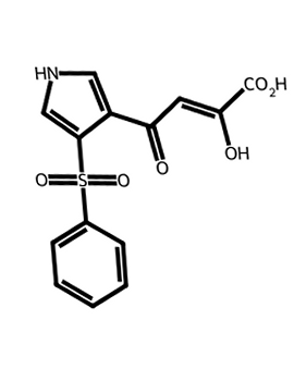 O=C(O)C(O)=CC(=O)c1c[nH]cc1S(=O)(=O)c1ccccc1